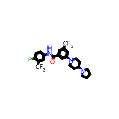 O=C(Nc1ccc(F)c(C(F)(F)F)c1)c1cc(N2CCC(N3CCCC3)CC2)cc(C(F)(F)F)c1